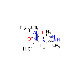 CCCCN1C(=O)[C@H](CC(C)C)NC(=O)C12CCN(C(C)c1c(C)n[nH]c1C)CC2